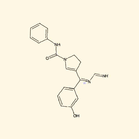 N=C/N=C(\C1=CN(C(=O)Nc2ccccc2)CC1)c1cccc(O)c1